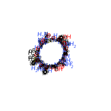 CCCC[C@H]1C(=O)N(C)[C@@H](CCCC)C(=O)N[C@@H](CCCN)C(=O)N[C@H](C(=O)NCC(N)=O)CSCC(=O)N[C@@H](Cc2ccc(O)cc2)C(=O)N(C)[C@@H](C)C(=O)N[C@@H](CC(N)=O)C(=O)N2CCC[C@H]2C(=O)N[C@@H](CN)C(=O)N[C@@H](CCC(N)=O)C(=O)N2C[C@H](O)C[C@H]2C(=O)N[C@@H](Cc2c[nH]c3ccccc23)C(=O)N[C@@H](CCN)C(=O)N[C@@H](Cc2csc3ccccc23)C(=O)N1C